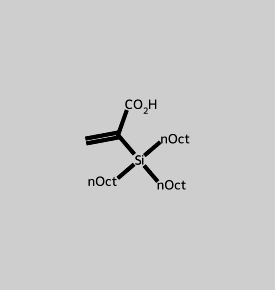 C=C(C(=O)O)[Si](CCCCCCCC)(CCCCCCCC)CCCCCCCC